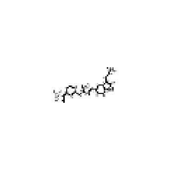 CS(=O)(=O)Nc1cccc(Cc2noc(-c3ccc4[nH]cc(CCN)c4c3)n2)c1